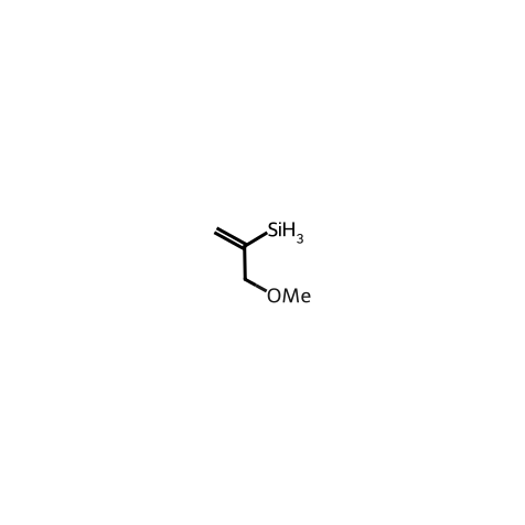 C=C([SiH3])COC